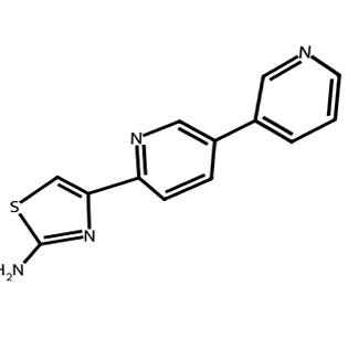 Nc1nc(-c2ccc(-c3cccnc3)cn2)cs1